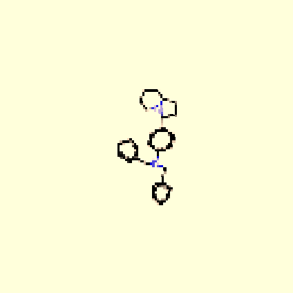 c1ccc(CN(Cc2ccccc2)c2ccc(C3CCC4CCCCN43)cc2)cc1